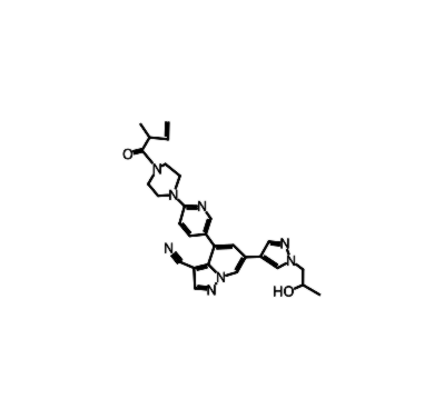 C=CC(C)C(=O)N1CCN(c2ccc(-c3cc(-c4cnn(CC(C)O)c4)cn4ncc(C#N)c34)cn2)CC1